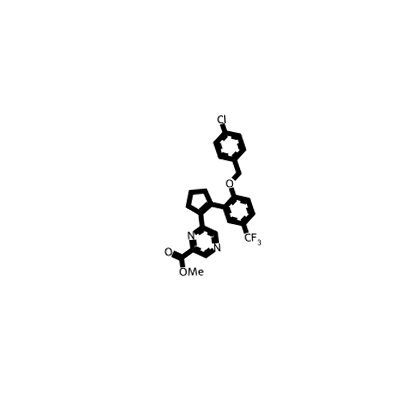 COC(=O)c1cncc(C2=C(c3cc(C(F)(F)F)ccc3OCc3ccc(Cl)cc3)CCC2)n1